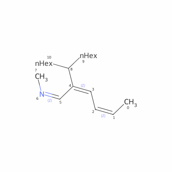 C\C=C/C=C(\C=N/C)C(CCCCCC)CCCCCC